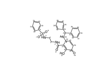 O=C(NCCNS(=O)(=O)c1ccccc1)c1c(O)c(=O)ccn1NC(c1ccccc1)c1ccccc1